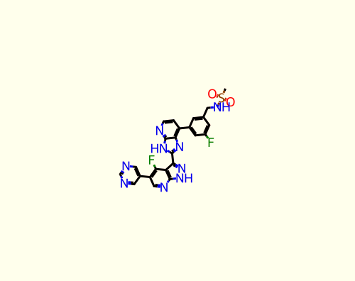 CS(=O)(=O)NCc1cc(F)cc(-c2ccnc3[nH]c(-c4n[nH]c5ncc(-c6cncnc6)c(F)c45)nc23)c1